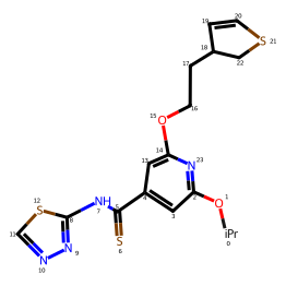 CC(C)Oc1cc(C(=S)Nc2nncs2)cc(OCCC2C=CSC2)n1